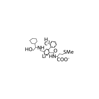 CSCC[C@H](NC(=O)c1ccc(CNC(CO)C2CCCCC2)cc1-c1ccccc1C)C(=O)[O-].[Li+]